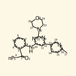 CCCC(=O)c1ccccc1Nc1cc(-c2ccc(C)nc2)nc(N2CCOCC2)n1